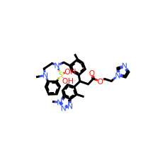 Cc1ccc(C(CC(=O)OCCn2ccnc2)c2ccc3c(nnn3C)c2C)cc1CN1CCN(C)c2ccccc2S1(O)O